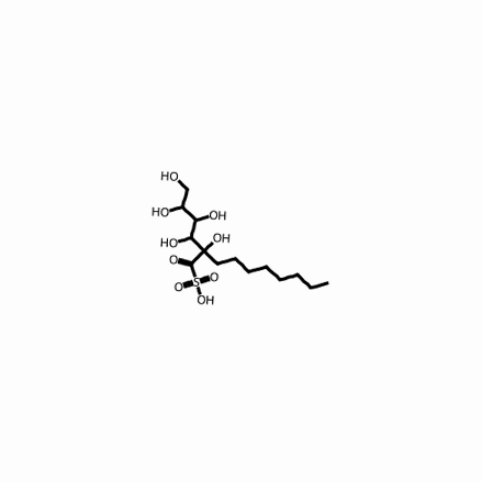 CCCCCCCCC(O)(C(=O)S(=O)(=O)O)C(O)C(O)C(O)CO